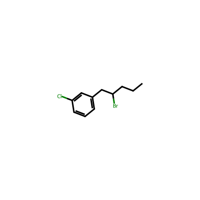 CCCC(Br)Cc1cccc(Cl)c1